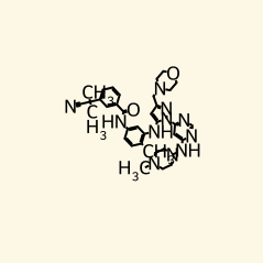 Cc1ccc(NC(=O)c2cccc(C(C)(C)C#N)c2)cc1Nc1cc(CN2CCOCC2)nn1-c1cc(NN2CCN(C)CC2)ncn1